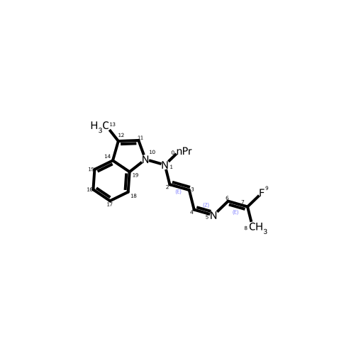 CCCN(/C=C/C=N\C=C(/C)F)n1cc(C)c2ccccc21